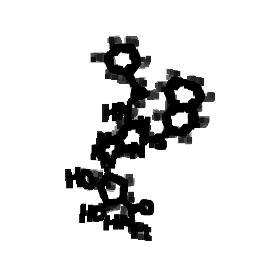 CCNC(=O)[C@@H]1C[C@H](n2nnc3c(NC4CC4c4ccccc4)nc(Sc4ccc5ccccc5c4)nc32)[C@@H](O)[C@H]1O